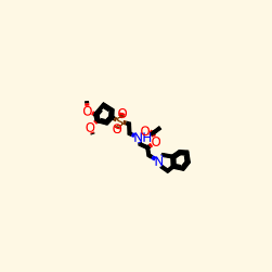 COc1ccc(S(=O)(=O)CCNCC(CN2CCc3ccccc3C2)OC(C)=O)cc1OC